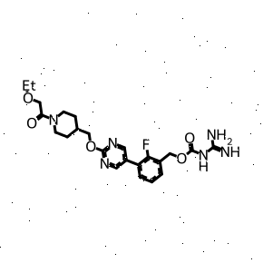 CCOCC(=O)N1CCC(COc2ncc(-c3cccc(COC(=O)NC(=N)N)c3F)cn2)CC1